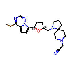 CSc1ncnn2c([C@H]3CC[C@@H](CN4CCCC45CCN(CC#N)CC5)O3)ccc12